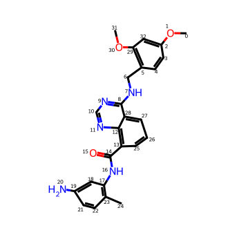 COc1ccc(CNc2ncnc3c(C(=O)Nc4cc(N)ccc4C)cccc23)c(OC)c1